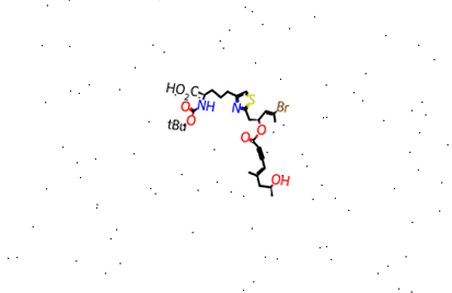 C/C(Br)=C\[C@H](Cc1nc(CCC[C@@H](NC(=O)OC(C)(C)C)C(=O)O)cs1)OC(=O)C#C/C=C(\C)C[C@H](C)O